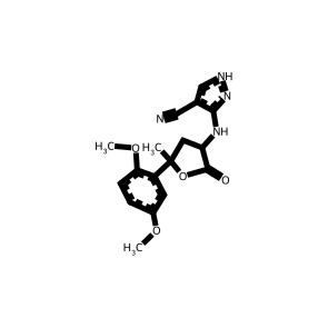 COc1ccc(OC)c(C2(C)CC(Nc3n[nH]cc3C#N)C(=O)O2)c1